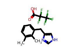 Cc1cccc(Cc2c[nH]cn2)c1C.O=C(O)C(F)(F)C(F)(F)F